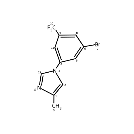 Cc1cn(-c2cc(Br)cc(C(F)(F)F)c2)cn1